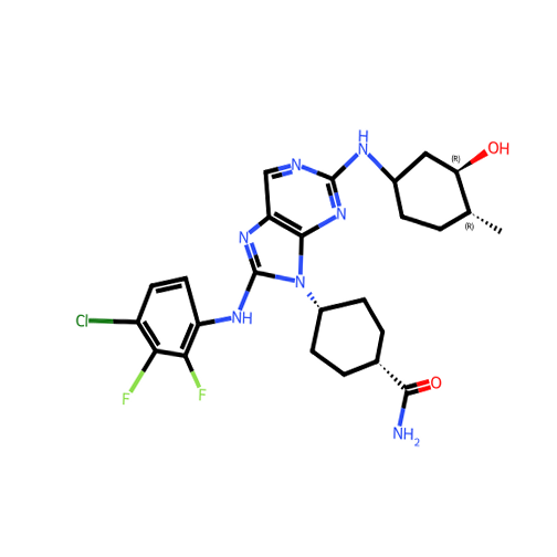 C[C@@H]1CCC(Nc2ncc3nc(Nc4ccc(Cl)c(F)c4F)n([C@H]4CC[C@@H](C(N)=O)CC4)c3n2)C[C@H]1O